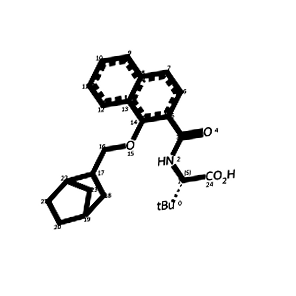 CC(C)(C)[C@H](NC(=O)c1ccc2ccccc2c1OCC1CC2CCC1C2)C(=O)O